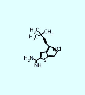 CC(C)(C)C#Cc1cccc2sc(C(=N)N)cc12.Cl